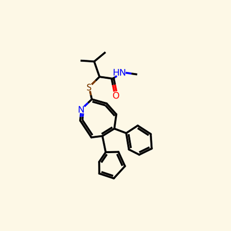 CNC(=O)C(SC1=C=C/C(c2ccccc2)=C(/c2ccccc2)C=C=N1)C(C)C